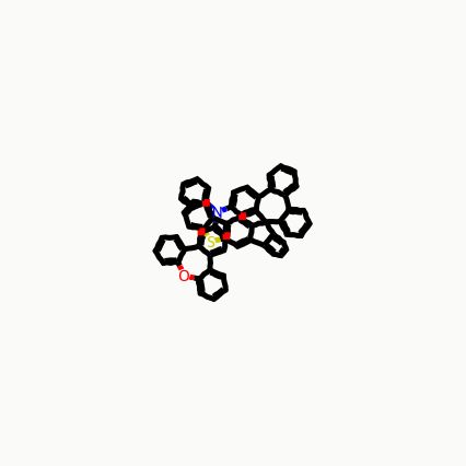 c1ccc(N(c2ccc3c(c2)-c2ccccc2Oc2ccccc2-3)c2ccc3c(c2)C2(c4ccccc4-c4ccccc4-3)c3ccccc3-c3cc4sc5ccccc5c4cc32)cc1